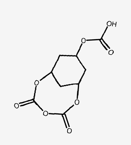 O=C(O)OC1CC2CC(C1)OC(=O)OC(=O)O2